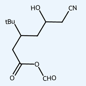 CC(C)(C)C(CC(=O)OC=O)CC(O)CC#N